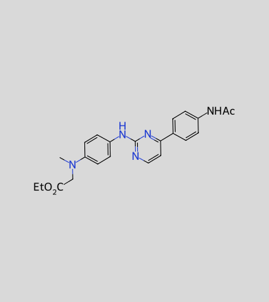 CCOC(=O)CN(C)c1ccc(Nc2nccc(-c3ccc(NC(C)=O)cc3)n2)cc1